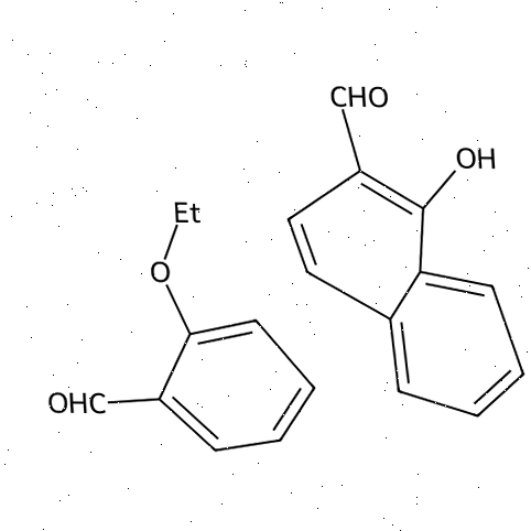 CCOc1ccccc1C=O.O=Cc1ccc2ccccc2c1O